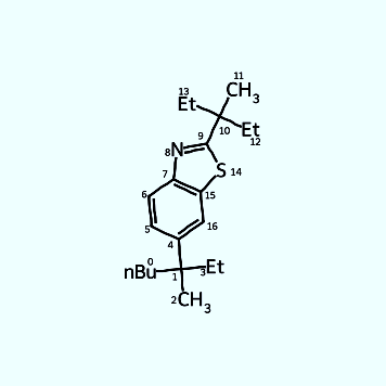 CCCCC(C)(CC)c1ccc2nc(C(C)(CC)CC)sc2c1